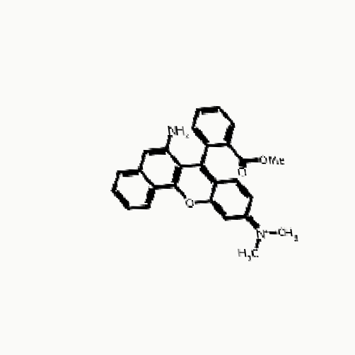 COC(=O)c1ccccc1-c1c2ccc(=[N+](C)C)cc-2oc2c1c(N)cc1ccccc12